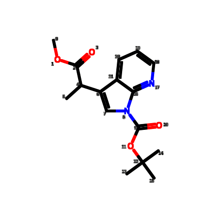 COC(=O)C(C)c1cn(C(=O)OC(C)(C)C)c2ncccc12